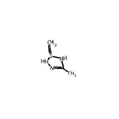 C=S1NN=C(C)N1